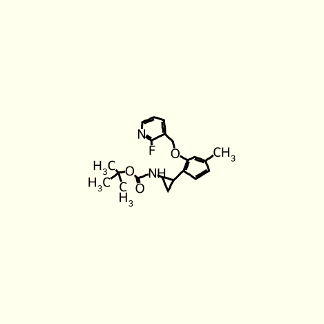 Cc1ccc(C2CC2NC(=O)OC(C)(C)C)c(OCc2cccnc2F)c1